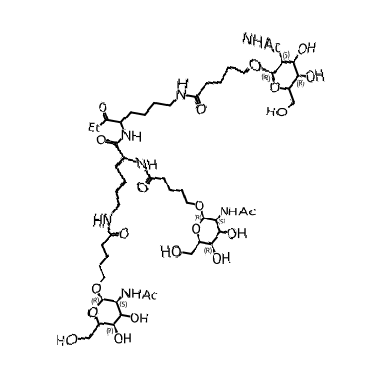 CCC(=O)C(CCCCNC(=O)CCCCO[C@@H]1OC(CO)[C@H](O)C(O)[C@@H]1NC(C)=O)NC(=O)C(CCCCNC(=O)CCCCO[C@@H]1OC(CO)[C@H](O)C(O)[C@@H]1NC(C)=O)NC(=O)CCCCO[C@@H]1OC(CO)[C@H](O)C(O)[C@@H]1NC(C)=O